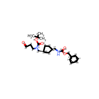 CC(C)(C)OC(=O)N(CCC=O)C[C@H]1CC[C@H](CNC(=O)OCc2ccccc2)CC1